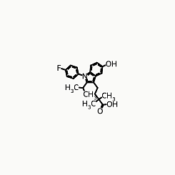 CC(C)c1c(CCC(C)(C)C(=O)O)c2cc(O)ccc2n1-c1ccc(F)cc1